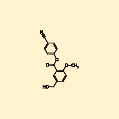 COc1ccc(CO)cc1C(=O)Oc1ccc(C#N)cc1